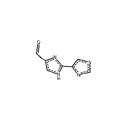 O=Cc1c[nH]c(-c2cscn2)n1